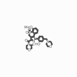 COc1cccc2c1S(=O)(=O)Cc1c(C(=O)N3CCOCC3C=O)nn(-c3ccc(CN4CCOCC4)cc3)c1-2